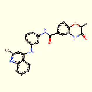 CC1Oc2ccc(C(=O)Nc3cccc(Nc4cc(C(F)(F)F)nc5ccccc45)c3)cc2NC1=O